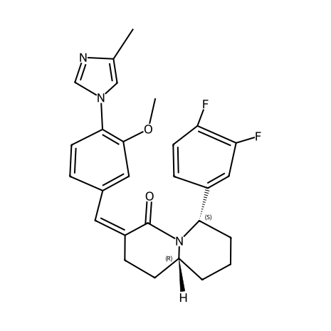 COc1cc(C=C2CC[C@H]3CCC[C@@H](c4ccc(F)c(F)c4)N3C2=O)ccc1-n1cnc(C)c1